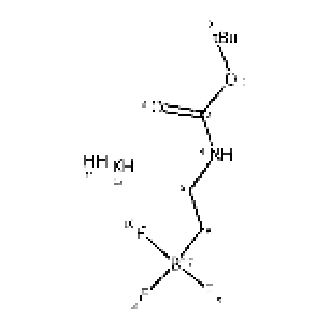 CC(C)(C)OC(=O)NCC[B-](F)(F)F.[HH].[KH]